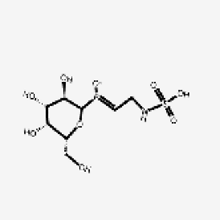 O=S(=O)(O)NC/C=[P+](\[O-])C1O[C@H](CO)[C@H](O)[C@H](O)[C@H]1O